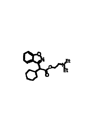 CCN(CC)CCOC(=O)C(c1noc2ccccc12)C1CCCCC1